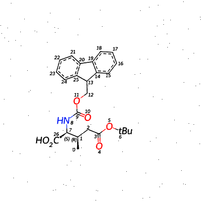 C[C@H](CC(=O)OC(C)(C)C)[C@H](NC(=O)OCC1c2ccccc2-c2ccccc21)C(=O)O